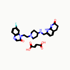 O=C(O)C=CC(=O)O.O=C1CCC2=CC=C(CNC3CCN(CCn4c(=O)cnc5ccc(F)cc54)CC3)NC2=N1